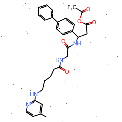 Cc1ccnc(NCCCCC(=O)NCC(=O)NC(CC(=O)OC(=O)C(F)(F)F)c2ccc(-c3ccccc3)cc2)c1